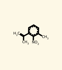 C=C(C)c1cccc(C)c1[N+](=O)[O-]